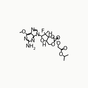 COc1nc(N)nc2c1ncn2[C@@H]1O[C@@H]2CO[P@@](=O)(OCC(=O)OC(C)C)O[C@H]2[C@@]1(C)F